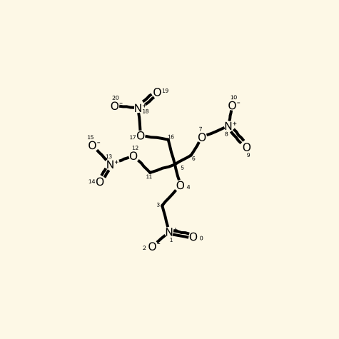 O=[N+]([O-])COC(CO[N+](=O)[O-])(CO[N+](=O)[O-])CO[N+](=O)[O-]